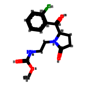 CC(C)(C)OC(=O)NCCN1C(=O)CCC1C(=O)c1ccccc1Cl